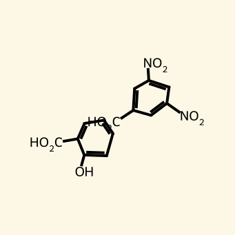 O=C(O)c1cc([N+](=O)[O-])cc([N+](=O)[O-])c1.O=C(O)c1ccccc1O